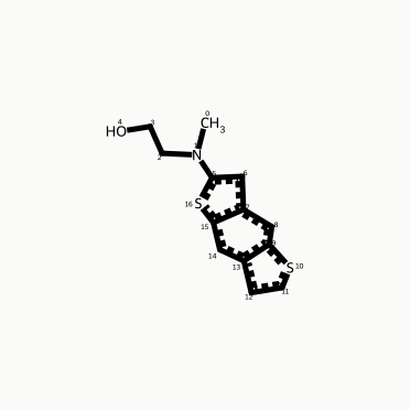 CN(CCO)c1cc2cc3sccc3cc2s1